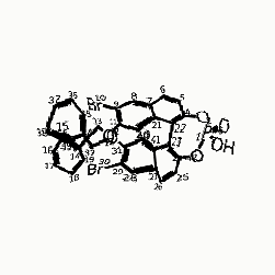 O=P1(O)Oc2ccc3cc(Br)c(OCc4ccccc4)cc3c2-c2c(ccc3cc(Br)c(OCc4ccccc4)cc23)O1